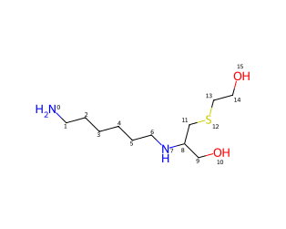 NCCCCCCNC(CO)CSCCO